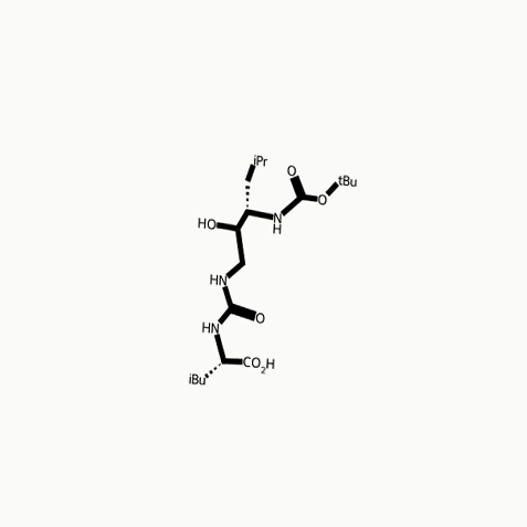 CCC(C)[C@H](NC(=O)NCC(O)[C@H](CC(C)C)NC(=O)OC(C)(C)C)C(=O)O